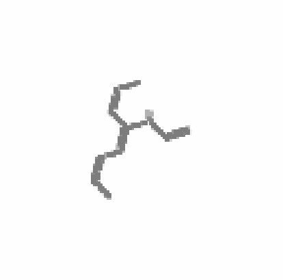 C=CBC(/C=C\C)=C/C=C\C